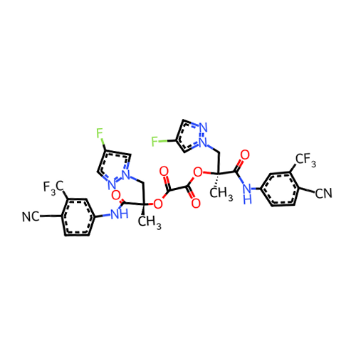 C[C@@](Cn1cc(F)cn1)(OC(=O)C(=O)O[C@@](C)(Cn1cc(F)cn1)C(=O)Nc1ccc(C#N)c(C(F)(F)F)c1)C(=O)Nc1ccc(C#N)c(C(F)(F)F)c1